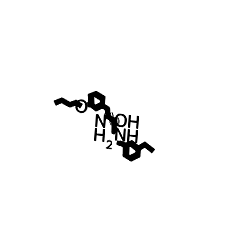 CCCCOc1cccc(C[C@H](N)[C@H](O)CNCc2cccc(CC)c2)c1